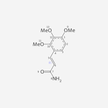 COc1ccc(/C=C/C(N)=O)c(OC)c1OC